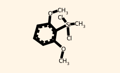 COc1cccc(OC)c1[Si](C)(Cl)Cl